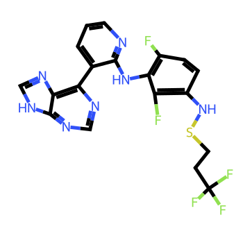 Fc1ccc(NSCCC(F)(F)F)c(F)c1Nc1ncccc1-c1ncnc2[nH]cnc12